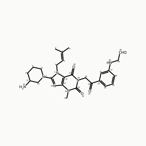 CC(C)=CCn1c(N2CCCC(N)C2)nc2c1c(=O)n(CC(=O)c1cccc(NCC=O)c1)c(=O)n2C